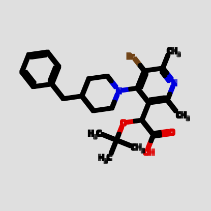 Cc1nc(C)c(C(OC(C)(C)C)C(=O)O)c(N2CCC(Cc3ccccc3)CC2)c1Br